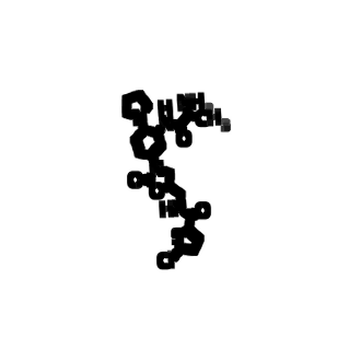 CC(N)C(=O)NC1C=C(N2CC(CNC(=O)c3ccc(Cl)s3)OC2=O)C=CC1N1CCCC1